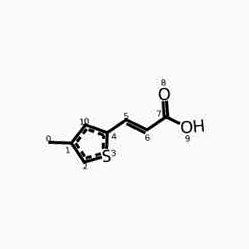 Cc1csc(/C=C/C(=O)O)c1